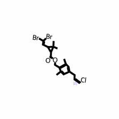 Cc1cc(C/C=C\Cl)cc(C)c1COC(=O)C1C(C=C(Br)Br)C1(C)C